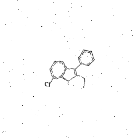 CCC1=C(c2ccccc2)c2cccc(Cl)c2[CH]1